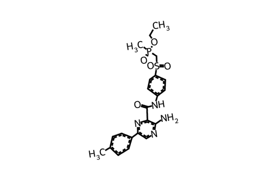 CCOP(C)(=O)CS(=O)(=O)c1ccc(NC(=O)c2nc(-c3ccc(C)cc3)cnc2N)cc1